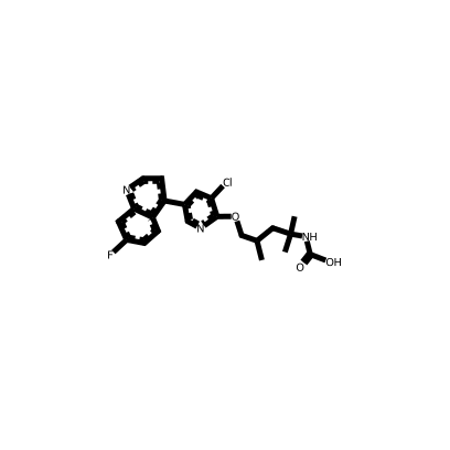 CC(COc1ncc(-c2ccnc3cc(F)ccc23)cc1Cl)CC(C)(C)NC(=O)O